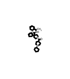 C[C@H](NC(=O)C1(C2=CC=CCC2)CCN(C(=O)C2CCN(C3CCCCC3)CC2)CC1)C1=CC=CCC1